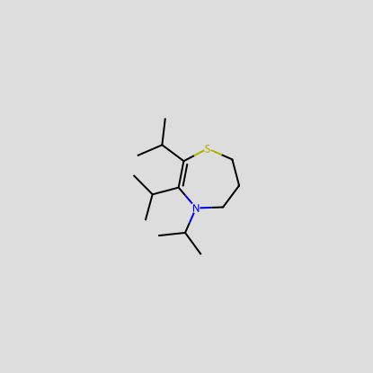 CC(C)C1=C(C(C)C)N(C(C)C)CCCS1